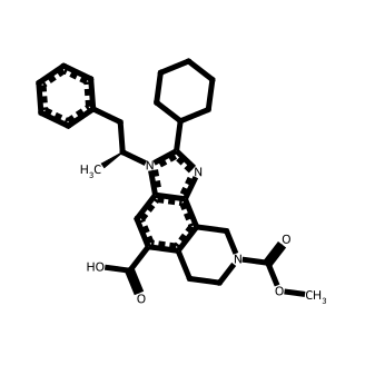 COC(=O)N1CCc2c(C(=O)O)cc3c(nc(C4CCCCC4)n3[C@@H](C)Cc3ccccc3)c2C1